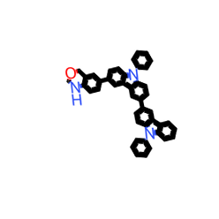 c1ccc(-n2c3ccccc3c3cc(-c4ccc5c(c4)c4cc(-c6ccc7c(c6)COCN7)ccc4n5-c4ccccc4)ccc32)cc1